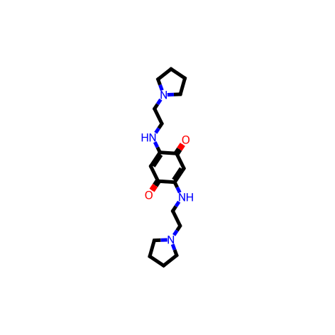 O=C1C=C(NCCN2CCCC2)C(=O)C=C1NCCN1CCCC1